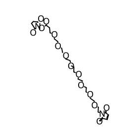 O=C(CCOCCOCCOCCOCCOCCOCCOCCOCCN1C(=O)C=CC1=O)ON1C(=O)CCC1=O